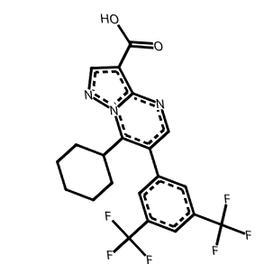 O=C(O)c1cnn2c(C3CCCCC3)c(-c3cc(C(F)(F)F)cc(C(F)(F)F)c3)cnc12